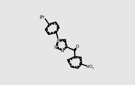 CC(C)c1ccc(-n2cc(C(=O)c3cccc([N+](=O)[O-])c3)nn2)cc1